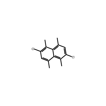 Cc1cc(Cl)c(C)c2c(C)cc(Cl)c(C)c12